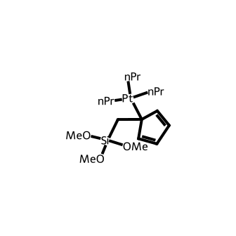 CC[CH2][Pt]([CH2]CC)([CH2]CC)[C]1(C[Si](OC)(OC)OC)C=CC=C1